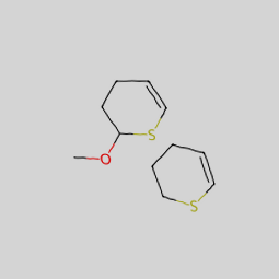 C1=CSCCC1.COC1CCC=CS1